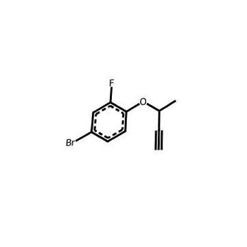 C#CC(C)Oc1ccc(Br)cc1F